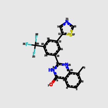 Cc1cccc2c(=O)[nH]c(-c3cc(-c4cncs4)cc(C(F)(F)F)c3)nc12